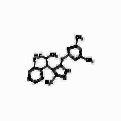 Cc1cc(C)cc(Sc2[nH]nc(C)c2C(c2ccncc2F)C(C)C)c1